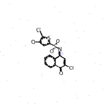 O=C1C(Cl)=C/C(=N/S(=O)(=O)c2cc(Cl)c(Cl)s2)c2ccccc21